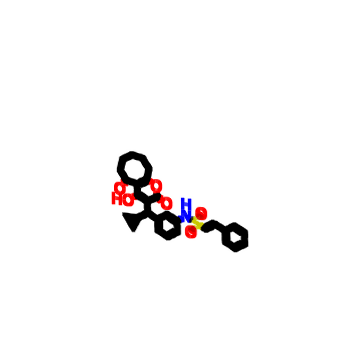 O=C1CCCCCc2oc(=O)c(C(c3cccc(NS(=O)(=O)/C=C/c4ccccc4)c3)C3CC3)c(O)c21